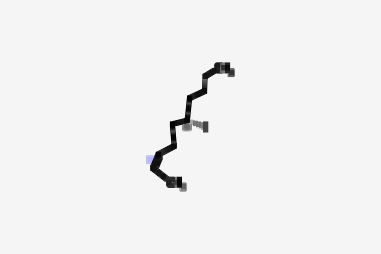 C/C=C\CC[C@@H](I)CCCC